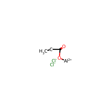 CCC(=O)[O][Al+2].[Cl-].[Cl-]